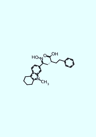 Cn1c2c(c3ccc(C(C[C@@H](CCc4ccccc4)C(=O)O)=NO)cc31)CCCC2